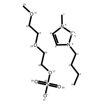 CCCCN1[C+]N(C)C=C1.COCCOCCOS(=O)(=O)[O-]